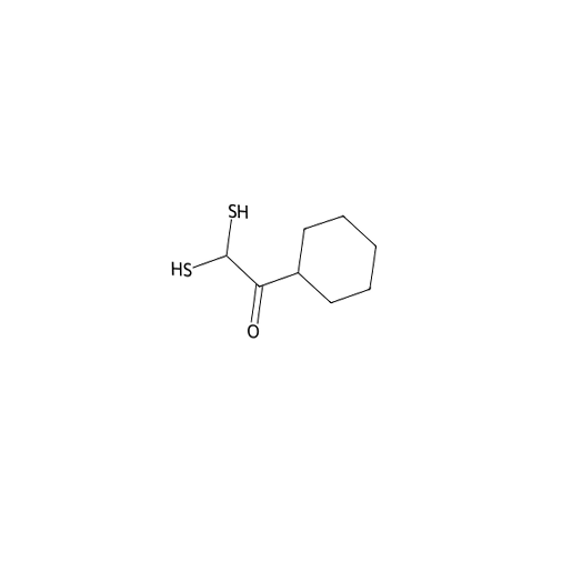 O=C(C(S)S)C1CCCCC1